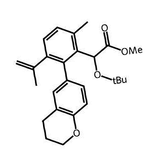 C=C(C)c1ccc(C)c(C(OC(C)(C)C)C(=O)OC)c1-c1ccc2c(c1)CCCO2